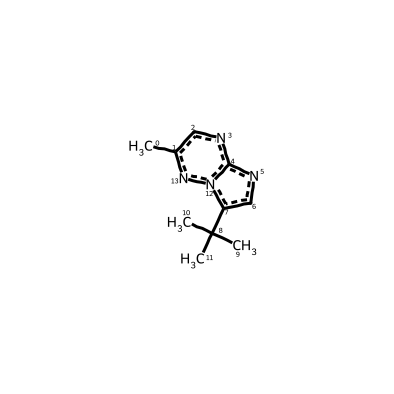 Cc1cnc2ncc(C(C)(C)C)n2n1